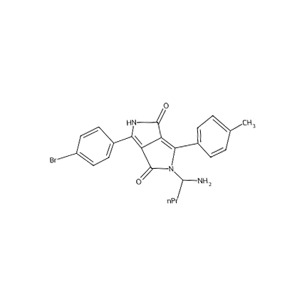 CCCC(N)N1C(=O)C2=C(c3ccc(Br)cc3)NC(=O)C2=C1c1ccc(C)cc1